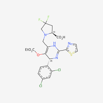 CCOC(=O)OC1=C(CN2CC(F)(F)C[C@H]2C(=O)O)NC(c2nccs2)=N[C@@H]1c1ccc(Cl)cc1Cl